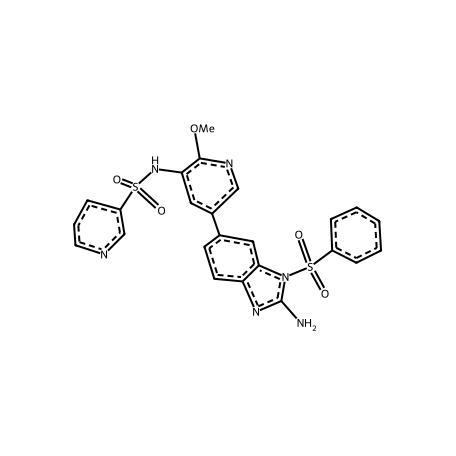 COc1ncc(-c2ccc3nc(N)n(S(=O)(=O)c4ccccc4)c3c2)cc1NS(=O)(=O)c1cccnc1